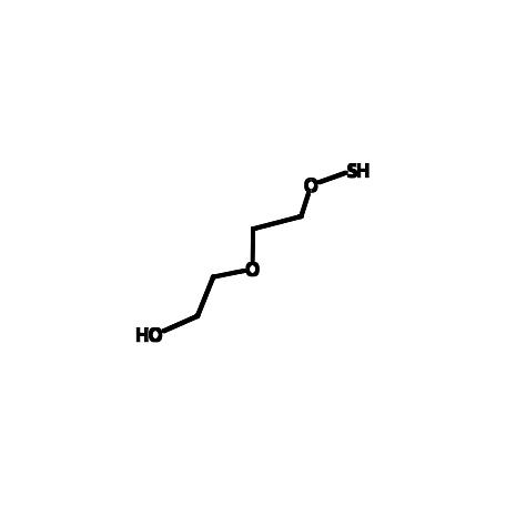 OCCOCCOS